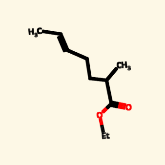 CC=CCCC(C)C(=O)OCC